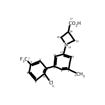 Cc1cc(-c2cc(C(F)(F)F)ccc2Cl)cc(N2CC(C(=O)O)C2)c1